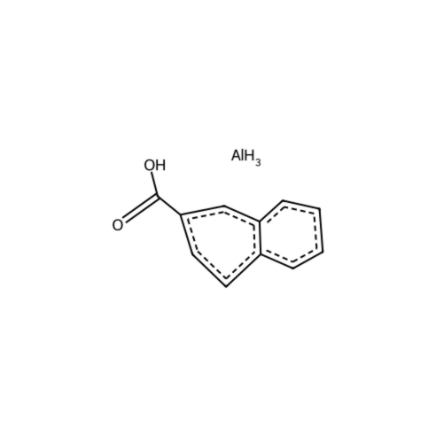 O=C(O)c1ccc2ccccc2c1.[AlH3]